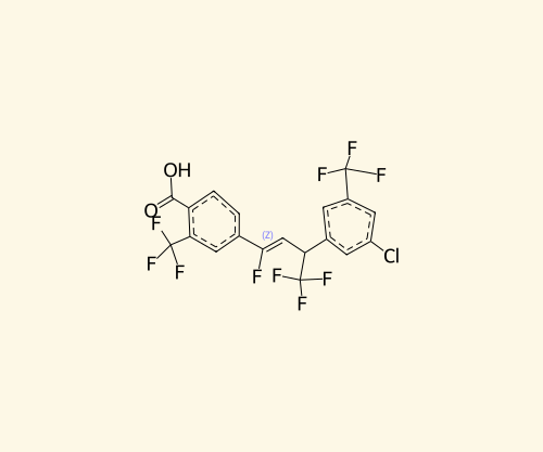 O=C(O)c1ccc(/C(F)=C/C(c2cc(Cl)cc(C(F)(F)F)c2)C(F)(F)F)cc1C(F)(F)F